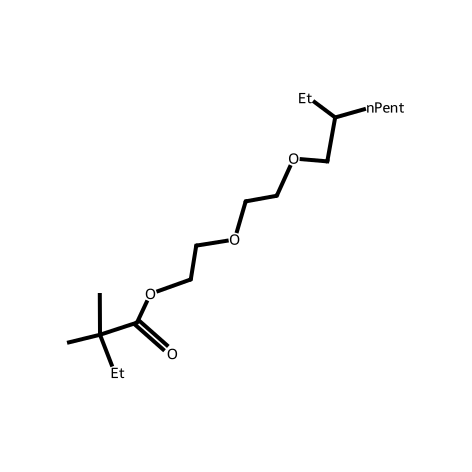 CCCCCC(CC)COCCOCCOC(=O)C(C)(C)CC